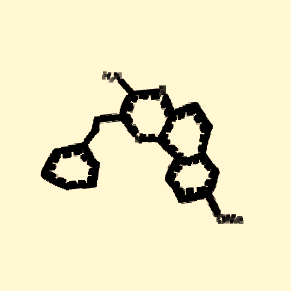 COc1ccc2c(ccc3nc(N)c(Cc4ccccc4)nc32)c1